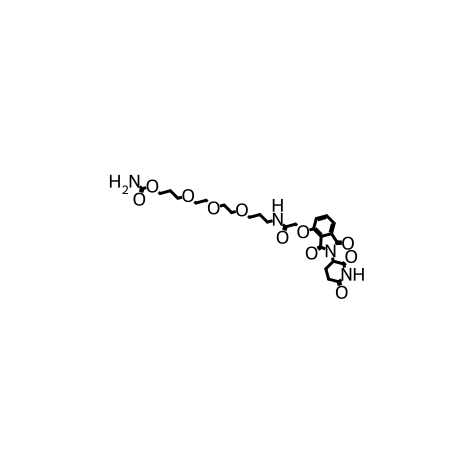 NC(=O)OCCCOCCOCCOCCCNC(=O)COc1cccc2c1C(=O)N(C1CCC(=O)NC1=O)C2=O